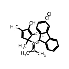 CC1=C[C](C)([Zr+2]([CH]2c3ccccc3-c3ccccc32)=[Si](C)C)C(C)=C1C.[Cl-].[Cl-]